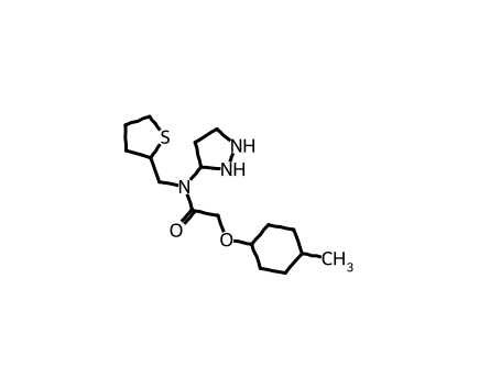 CC1CCC(OCC(=O)N(CC2CCCS2)C2CCNN2)CC1